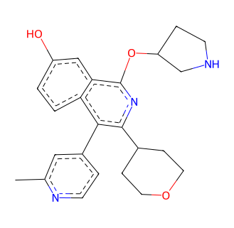 Cc1cc(-c2c(C3CCOCC3)nc(OC3CCNC3)c3cc(O)ccc23)ccn1